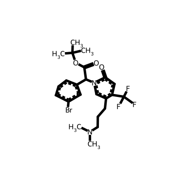 CN(C)CCCc1cn(C(C(=O)OC(C)(C)C)c2cccc(Br)c2)c(=O)cc1C(F)(F)F